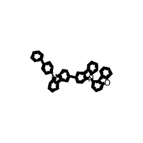 c1ccc(-c2ccc(-n3c4ccccc4c4cc(-c5ccc6c(c5)c5ccccc5n6-c5cccc6oc7ccccc7c56)ccc43)cc2)cc1